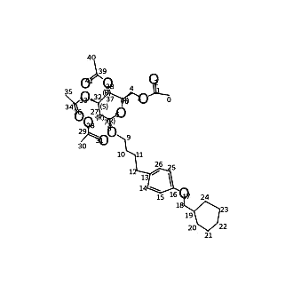 CC(=O)OC[C@H]1O[C@@H](OCCCCc2ccc(OCC3CCCCC3)cc2)[C@H](OC(C)=O)[C@@H](OC(C)=O)[C@@H]1OC(C)=O